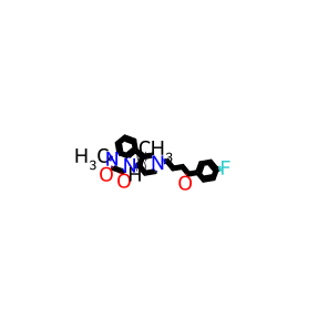 Cn1c(=O)c(=O)n2c3c(cccc31)[C@@]1(C)CN(CCCC(=O)c3ccc(F)cc3)CC[C@@H]21